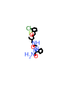 CCC(CNC(=O)Cn1nc(C(N)=O)c2ccccc21)CC(=O)Cc1cccc(Cl)c1F